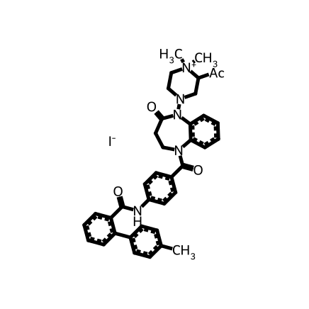 CC(=O)C1CN(N2C(=O)CCN(C(=O)c3ccc(NC(=O)c4ccccc4-c4ccc(C)cc4)cc3)c3ccccc32)CC[N+]1(C)C.[I-]